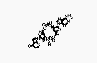 Nc1ncnc2c1ncn2[C@@H]1O[C@@H]2COP(=O)(S)O[C@H]3[C@H](F)[C@H](n4ccc5c4N=CCC5=O)O[C@@H]3COP(=O)(S)O[C@@H]1C2